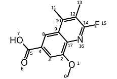 COc1cc(C(=O)O)cc2c(C)c(C)c(F)nc12